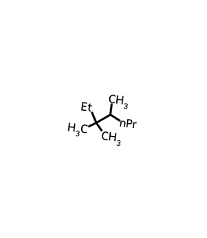 [CH2]CCC(C)C(C)(C)C[CH2]